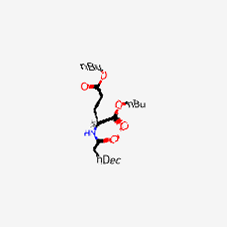 CCCCCCCCCCCC(=O)N[C@@H](CCC(=O)OCCCC)C(=O)OCCCC